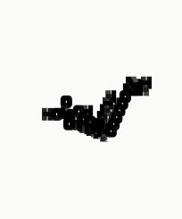 O.O.O.O.O.O.O.O.O.O.O=[Se](=O)(O)O.[NaH].[NaH]